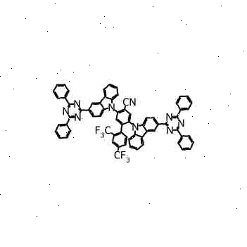 N#Cc1cc(-n2c3ccccc3c3cc(-c4nc(-c5ccccc5)nc(-c5ccccc5)n4)ccc32)c(-c2ccc(C(F)(F)F)cc2C(F)(F)F)cc1-n1c2ccccc2c2cc(-c3nc(-c4ccccc4)nc(-c4ccccc4)n3)ccc21